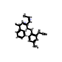 CCCCNc1nc(N)ncc1OCC(/C=N\CC)=N\C(C)c1ccccc1